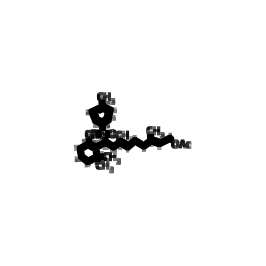 CC(=O)OC/C=C(\C)CC/C=C(\C)CC(C1=C(C)CCCC1(C)C)S(=O)(=O)c1ccc(C)cc1